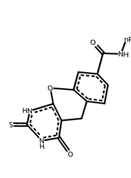 CCCNC(=O)c1ccc2c(c1)Oc1[nH]c(=S)[nH]c(=O)c1C2